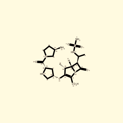 CC(NS(N)(=O)=O)[C@H]1C(=O)N2C(C(=O)O)=C(S[C@@H]3CN[C@H](C(=O)N4CC[C@@H](N)C4)C3)[C@H](C)[C@H]12